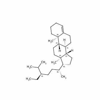 CC[C@H](CC[C@@H](C)[C@H]1CC[C@H]2[C@@H]3CCC4=CCCC[C@]4(C)[C@H]3CC[C@]12C)C(C)C